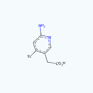 CCc1cc(N)ncc1CC(=O)O